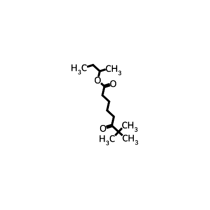 CCC(C)OC(=O)CCCCC(=O)C(C)(C)C